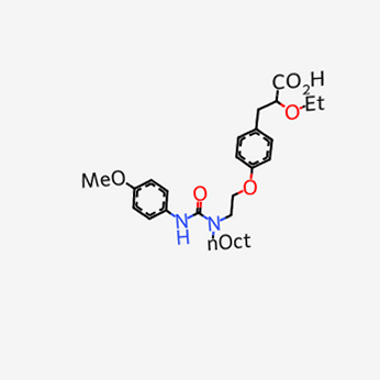 CCCCCCCCN(CCOc1ccc(CC(OCC)C(=O)O)cc1)C(=O)Nc1ccc(OC)cc1